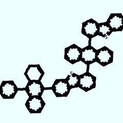 C1=Cc2c(c(-c3ccccc3)c3ccccc3c2-c2ccc3c(c2)sc2c(-c4c5ccccc5c(-c5cccc6c5sc5ccccc56)c5ccccc45)cccc23)CC1